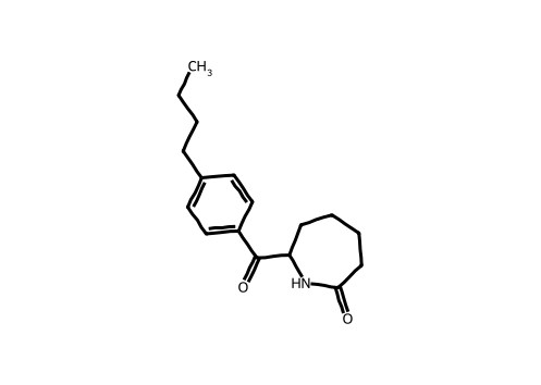 CCCCc1ccc(C(=O)C2CCCCC(=O)N2)cc1